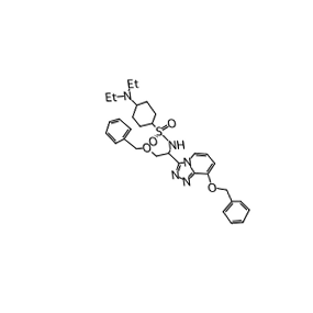 CCN(CC)C1CCC(S(=O)(=O)NC(COCc2ccccc2)c2nnc3c(OCc4ccccc4)cccn23)CC1